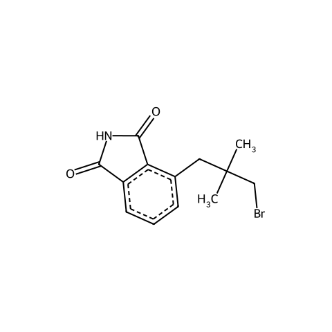 CC(C)(CBr)Cc1cccc2c1C(=O)NC2=O